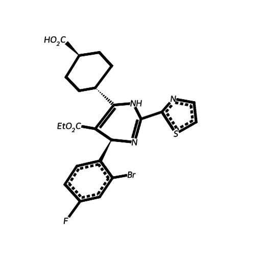 CCOC(=O)C1=C([C@H]2CC[C@H](C(=O)O)CC2)NC(c2nccs2)=N[C@H]1c1ccc(F)cc1Br